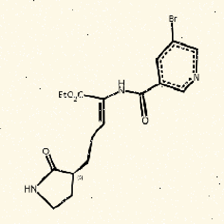 CCOC(=O)C(=CCC[C@H]1CCNC1=O)NC(=O)c1cncc(Br)c1